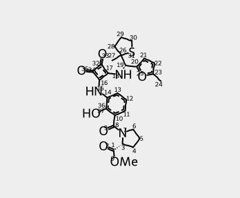 COC(=O)[C@H]1CCCN1C(=O)c1cccc(Nc2c(N[C@@H](c3ccc(C)o3)C3(C)CCCS3)c(=O)c2=O)c1O